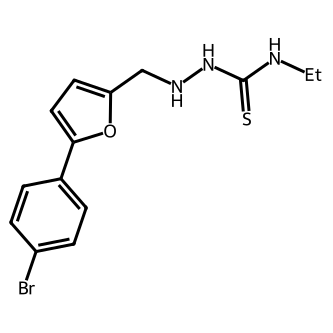 CCNC(=S)NNCc1ccc(-c2ccc(Br)cc2)o1